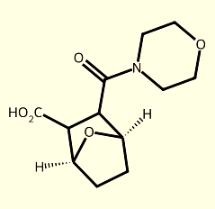 O=C(O)C1C(C(=O)N2CCOCC2)[C@H]2CC[C@@H]1O2